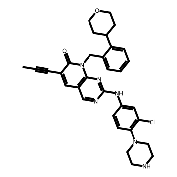 CC#Cc1cc2cnc(Nc3ccc(N4CCNCC4)c(Cl)c3)nc2n(Cc2ccccc2C2CCOCC2)c1=O